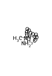 CCCCN(CCCCN)C(=O)CN1C[C@H](c2cc(OC)c3c(c2)OCO3)[C@@H](C(=O)O)[C@@H]1CCc1cccc2c1OCO2